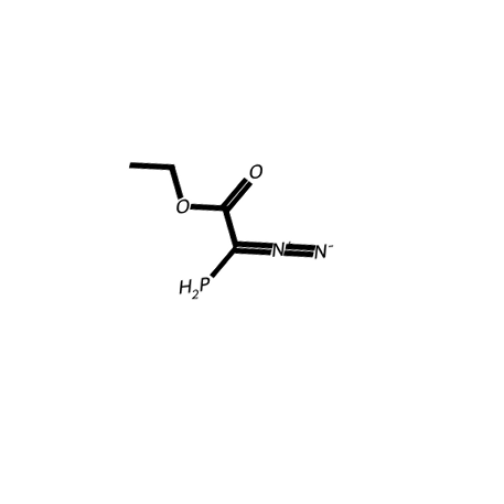 CCOC(=O)C(P)=[N+]=[N-]